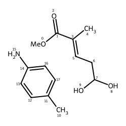 COC(=O)C(C)=CCC(O)O.Cc1ccc(N)cc1